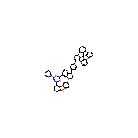 c1ccc(-c2nc(-c3ccccc3)nc(-c3cccc4oc5ccc(-c6ccc(-c7ccc(-c8ccc9c(c8)C8(c%10ccccc%10-c%10ccccc%108)c8ccccc8-9)cc7)cc6)cc5c34)n2)cc1